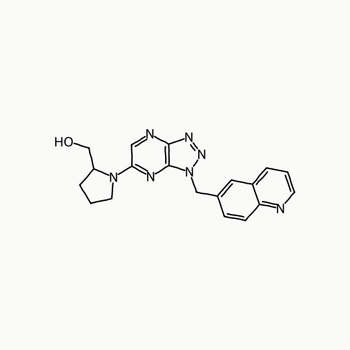 OCC1CCCN1c1cnc2nnn(Cc3ccc4ncccc4c3)c2n1